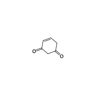 O=C1C=CCC(=O)C1